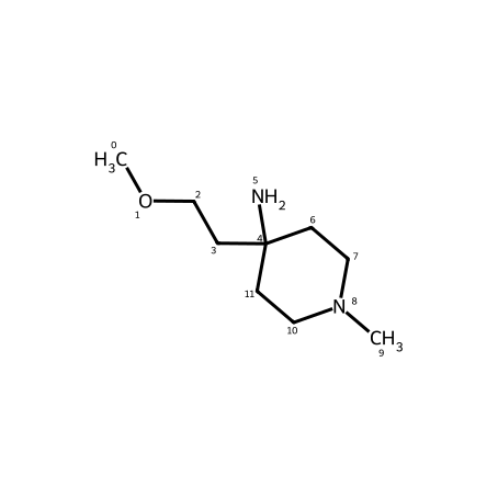 COCCC1(N)CCN(C)CC1